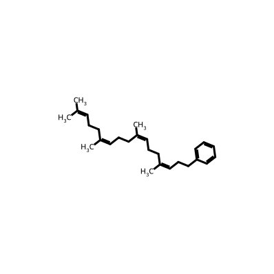 CC(C)=CCCC(C)=CCCC(C)=CCCC(C)=CCCc1ccccc1